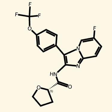 O=C(Nc1nc2ccc(F)cn2c1-c1ccc(OC(F)(F)F)cc1)[C@@H]1CCCO1